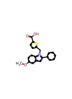 COc1ccc2c(c1)cc(-c1ccccc1)n2Cc1ccc(C(=O)O)s1